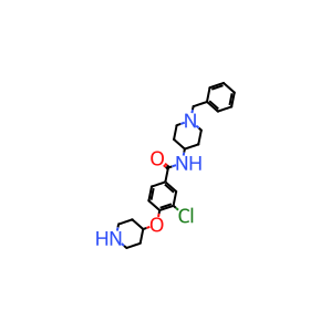 O=C(NC1CCN(Cc2ccccc2)CC1)c1ccc(OC2CCNCC2)c(Cl)c1